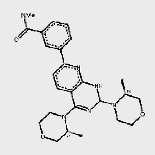 CNC(=O)c1cccc(-c2ccc3c(n2)NC(N2CCOC[C@@H]2C)N=C3N2CCOC[C@@H]2C)c1